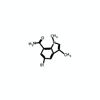 CCc1cc(C(N)=O)c2c(c1)c(C)cn2C